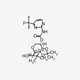 CC1(C)O[C@@H]2[C@@H](OC(=O)Nc3nccc(C(F)(F)F)n3)CO[C@H](CO)[C@@]2(C(C)(C)C)O1